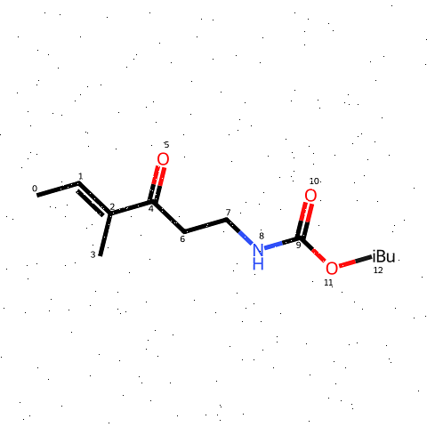 C/C=C(\C)C(=O)CCNC(=O)OC(C)CC